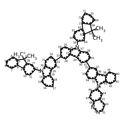 CC1(C)c2ccccc2-c2ccc(-n3c4ccccc4c4cc(-c5ccc6c(c5)c5cc(-c7ccc8c(c7)c7ccccc7n8-c7ccc8nnccc8c7)ccc5n6-c5ccc6c(c5)C(C)(C)c5ccccc5-6)ccc43)cc21